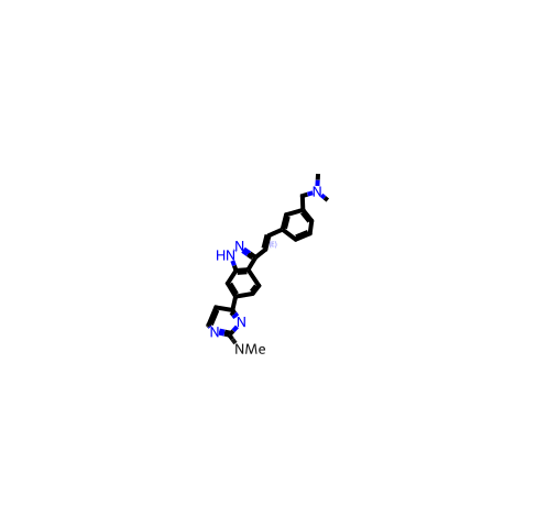 CNc1nccc(-c2ccc3c(/C=C/c4cccc(CN(C)C)c4)n[nH]c3c2)n1